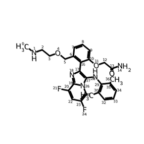 CNCCOCc1cccc(OCC(N)=O)c1-c1nc2c(F)cc(F)cn2c1Nc1c(C)cccc1C